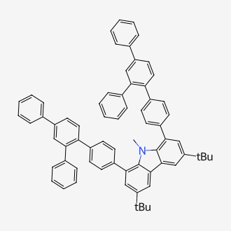 Cn1c2c(-c3ccc(-c4ccc(-c5ccccc5)cc4-c4ccccc4)cc3)cc(C(C)(C)C)cc2c2cc(C(C)(C)C)cc(-c3ccc(-c4ccc(-c5ccccc5)cc4-c4ccccc4)cc3)c21